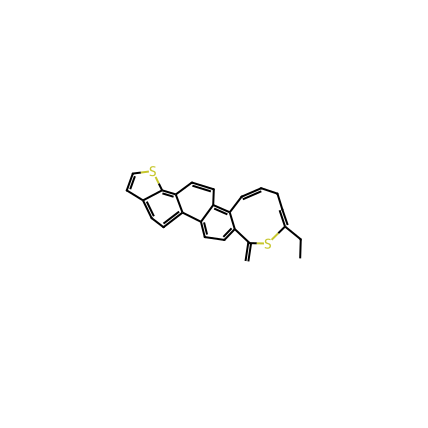 C=C1S/C(CC)=C\C/C=C\c2c1ccc1c2ccc2c1ccc1ccsc12